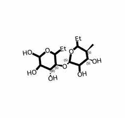 CCC1O[C@@H](O[C@@H]2C(CC)OC(O)C(O)[C@H]2O)C(O)[C@@H](O)[C@@H]1C